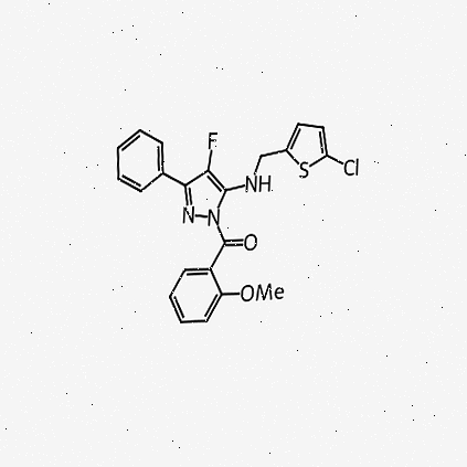 COc1ccccc1C(=O)n1nc(-c2ccccc2)c(F)c1NCc1ccc(Cl)s1